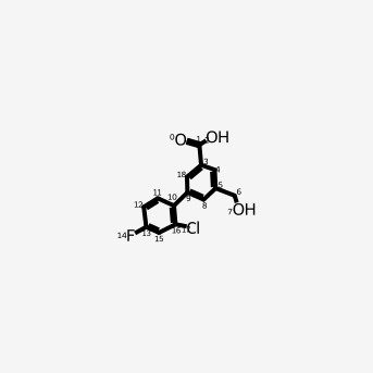 O=C(O)c1cc(CO)cc(-c2ccc(F)cc2Cl)c1